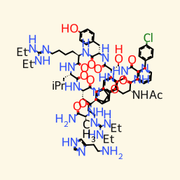 CCNC(=NCCCC[C@H](NC(=O)[C@H](CC(C)C)NC(=O)[C@@H](CCCCN=C(NCC)NCC)NC(=O)[C@H](Cc1ccc(O)cc1)NC(=O)[C@H](CO)NC(=O)[C@@H](Cc1cccnc1)NC(=O)[C@@H](Cc1ccc(Cl)cc1)NC(=O)[C@@H](Cc1cccc2ccccc12)NC(C)=O)C(=O)N1CCC[C@H]1C(=O)N[C@H](C)C(N)=O)NCC.NCCc1c[nH]cn1